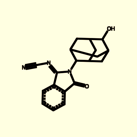 N#CN=C1c2ccccc2C(=O)N1C1C2CC3CC1CC(C2)C3O